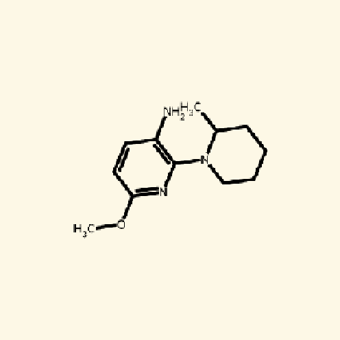 COc1ccc(N)c(N2CCCCC2C)n1